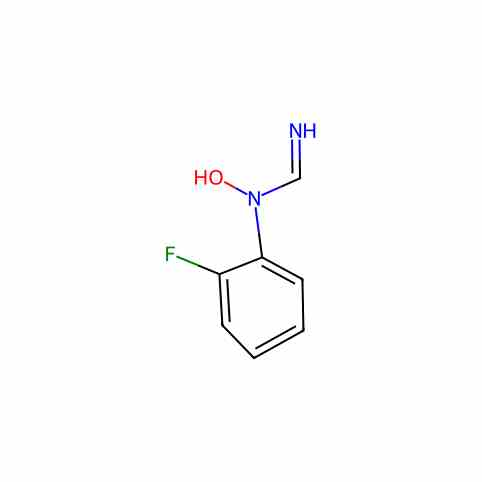 N=CN(O)c1ccccc1F